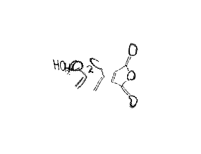 C=CC(=O)O.C=CC(=O)O.O=C1C=CC(=O)O1